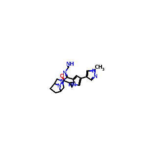 Cn1cc(-c2c[nH]c(/C(=N\C=N)N3CC4CCC(C3)N4C(=O)C3CC3)c2)cn1